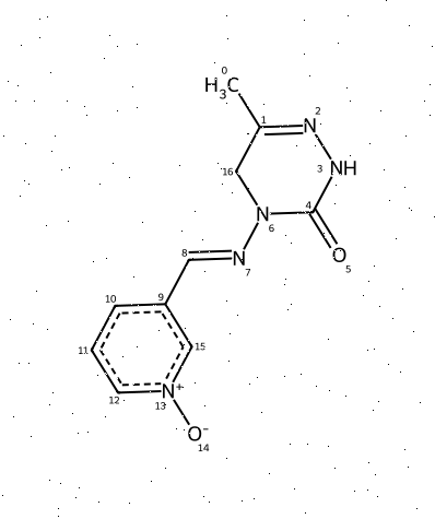 CC1=NNC(=O)N(N=Cc2ccc[n+]([O-])c2)C1